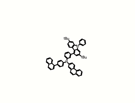 CC(C)(C)c1ccc2c3c(-c4cccc(N(c5ccc(-c6cccc7ccccc67)cc5)c5ccc6c(ccc7ccccc76)c5)c4)cc(C(C)(C)C)cc3n(-c3ccccc3)c2c1